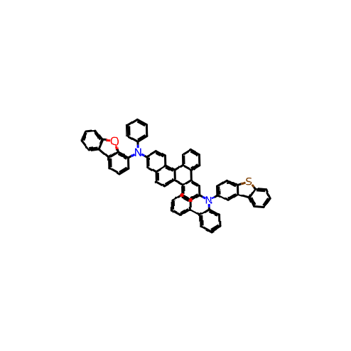 c1ccc(-c2ccccc2N(c2ccc3sc4ccccc4c3c2)c2ccc3c(c2)c2ccccc2c2c4ccc(N(c5ccccc5)c5cccc6c5oc5ccccc56)cc4ccc32)cc1